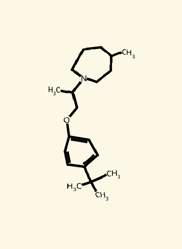 CC1CCCN(C(C)COc2ccc(C(C)(C)C)cc2)CC1